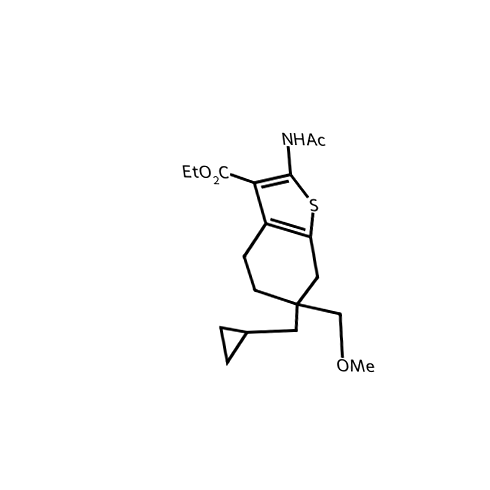 CCOC(=O)c1c(NC(C)=O)sc2c1CCC(COC)(CC1CC1)C2